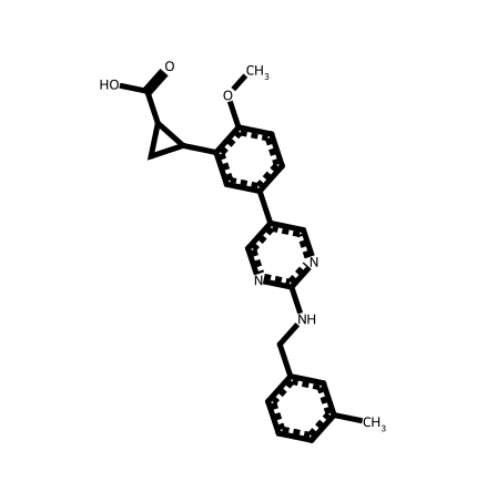 COc1ccc(-c2cnc(NCc3cccc(C)c3)nc2)cc1C1CC1C(=O)O